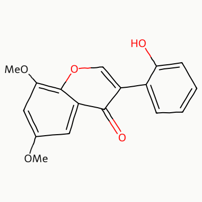 COc1cc(OC)c2occ(-c3ccccc3O)c(=O)c2c1